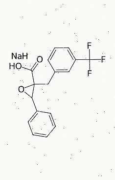 O=C(O)C1(Cc2cccc(C(F)(F)F)c2)OC1c1ccccc1.[NaH]